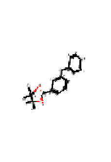 CC1(C)OB(c2cccc(Cc3ccccc3)c2)OC1(C)C